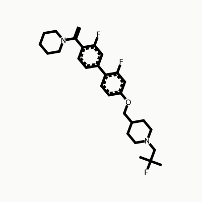 C=C(c1ccc(-c2ccc(OCC3CCN(CC(C)(C)F)CC3)cc2F)cc1F)N1CCCCC1